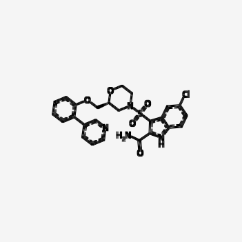 NC(=O)c1[nH]c2ccc(Cl)cc2c1S(=O)(=O)N1CCO[C@H](COc2ccccc2-c2cccnc2)C1